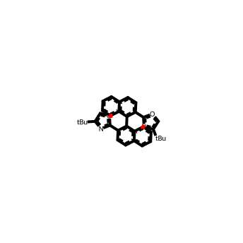 CC(C)(C)c1coc(-c2ccc3ccccc3c2-c2c(-c3nc(C(C)(C)C)co3)ccc3ccccc23)n1